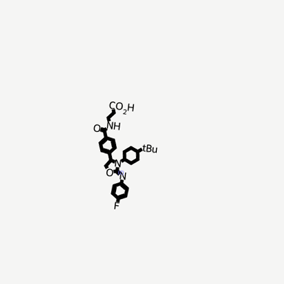 CC(C)(C)C1CCC(N2/C(=N/c3ccc(F)cc3)OCC2c2ccc(C(=O)NCCC(=O)O)cc2)CC1